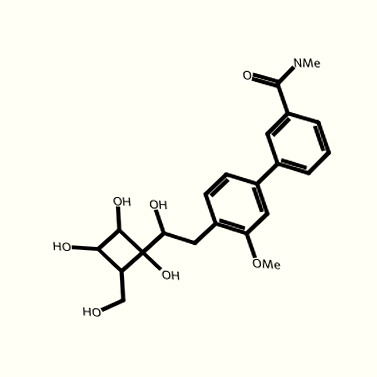 CNC(=O)c1cccc(-c2ccc(CC(O)C3(O)C(O)C(O)C3CO)c(OC)c2)c1